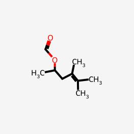 CC(C)=C(C)CC(C)OC=O